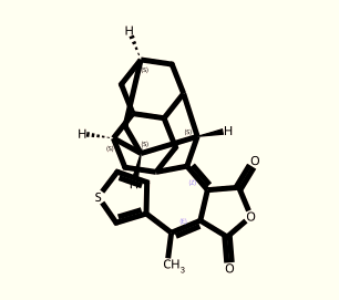 C/C(=C1\C(=O)OC(=O)\C1=C1\C2CC3C4C[C@H]5CC3[C@H]1[C@@H](C5)[C@H]4C2)c1ccsc1